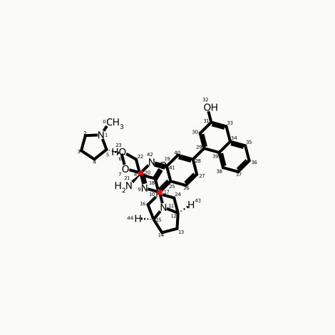 CN1CCC[C@H]1COc1nc(N2[C@@H]3CC[C@H]2CN(C(=O)[C@@H](N)CO)C3)c2ccc(-c3cc(O)cc4ccccc34)cc2n1